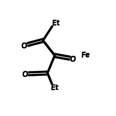 CCC(=O)C(=O)C(=O)CC.[Fe]